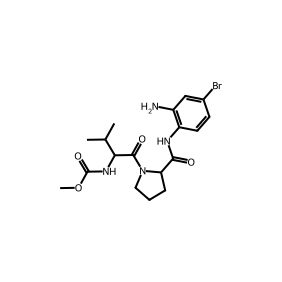 COC(=O)NC(C(=O)N1CCCC1C(=O)Nc1ccc(Br)cc1N)C(C)C